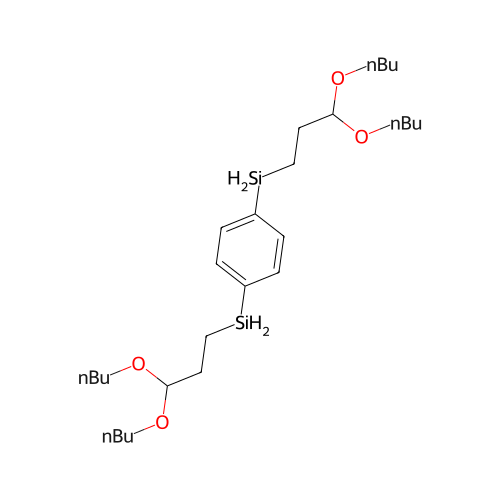 CCCCOC(CC[SiH2]c1ccc([SiH2]CCC(OCCCC)OCCCC)cc1)OCCCC